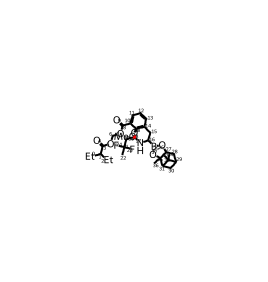 CCC(CC)C(=O)OCOC(=O)c1cccc(CC(NC(=O)CC(C)(F)F)B2OC3CC4CC(C4(C)C)C3(C)O2)c1OC